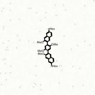 CCCCCCc1ccc2cc(-c3cc(OC)c(-c4cc5ccc(CCCCCC)cc5cc4OC)cc3OC)c(OC)cc2c1